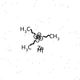 CCCCOP(=O)(OCCCC)OCCCC.[Hf].[Zr]